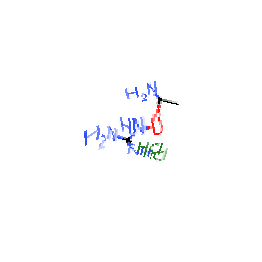 CC(N)ONC(=N)N.Cl.Cl